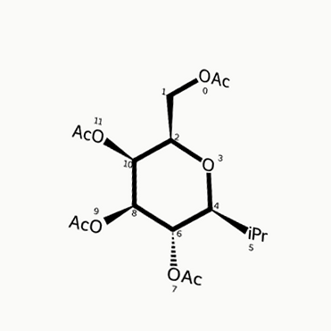 CC(=O)OC[C@H]1O[C@@H](C(C)C)[C@H](OC(C)=O)[C@@H](OC(C)=O)[C@H]1OC(C)=O